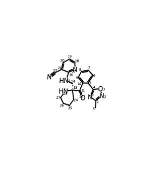 Cc1noc(-c2ccccc2C(=O)[C@@]2(CNc3ncccc3C#N)CCCCN2)n1